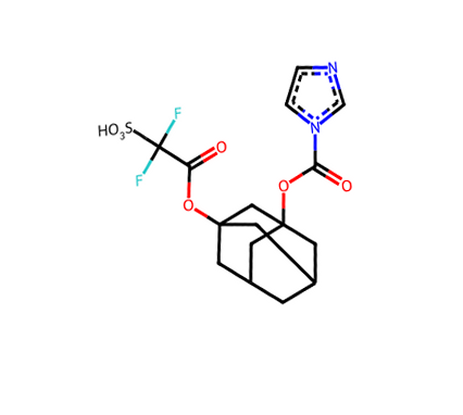 O=C(OC12CC3CC(C1)CC(OC(=O)C(F)(F)S(=O)(=O)O)(C3)C2)n1ccnc1